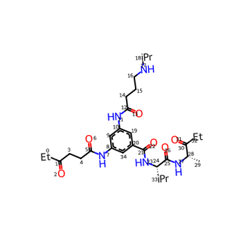 CCC(=O)CCC(=O)Nc1cc(NC(=O)CCCNC(C)C)cc(C(=O)N[C@H](C(=O)N[C@@H](C)C(=O)CC)C(C)C)c1